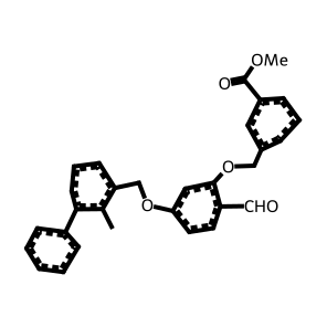 COC(=O)c1cccc(COc2cc(OCc3cccc(-c4ccccc4)c3C)ccc2C=O)c1